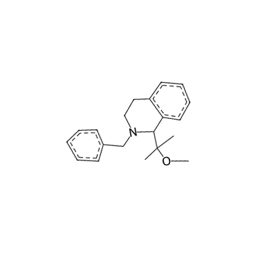 COC(C)(C)C1c2ccccc2CCN1Cc1ccccc1